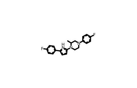 CC1CN(c2ccc(F)cc2)CCN1c1ccc(-c2ccc(F)cc2)[nH]1